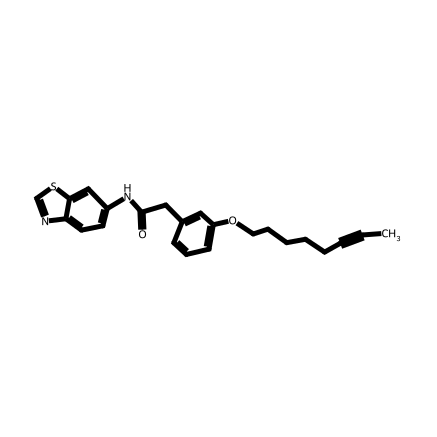 CC#CCCCCCOc1cccc(CC(=O)Nc2ccc3ncsc3c2)c1